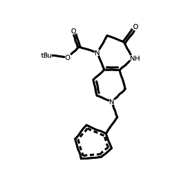 CC(C)(C)OC(=O)N1CC(=O)NC2=C1C=CN(Cc1ccccc1)C2